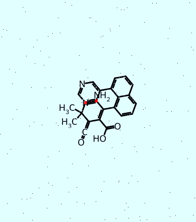 CC1(C)C=C(N)C(c2cccc3cccc(-c4cncnc4)c23)=C(C(=O)O)C1=C=O